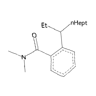 CCCCCCCC(CC)c1ccccc1C(=O)N(C)C